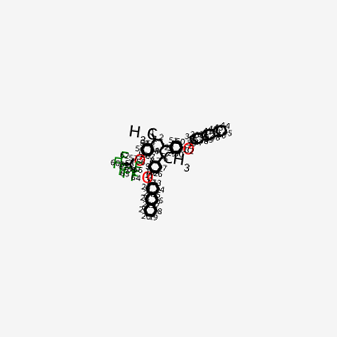 CC(CC(CC(C)c1ccc(Oc2ccc3cc4ccccc4cc3c2)cc1)c1ccc(OC2CC3CC2C2C4CC(C5C6CCC(C6)C45)C32)cc1)c1ccc(OCC(C(F)(F)F)C(F)(F)F)cc1